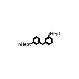 CCCCCCCc1cccc(Cc2cccc(CCCCCCC)c2)c1